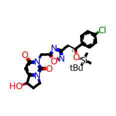 CC(C)(C)[Si](C)(C)O[C@@H](Cc1noc(Cn2c(=O)cc3n(c2=O)CCC3O)n1)c1ccc(Cl)cc1